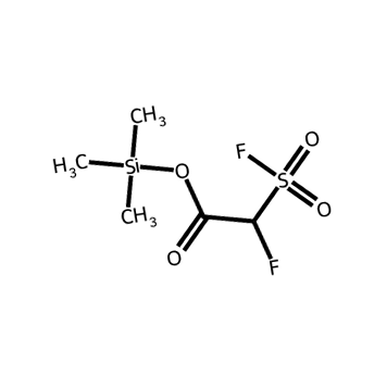 C[Si](C)(C)OC(=O)C(F)S(=O)(=O)F